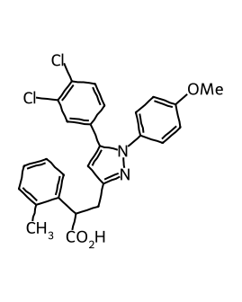 COc1ccc(-n2nc(CC(C(=O)O)c3ccccc3C)cc2-c2ccc(Cl)c(Cl)c2)cc1